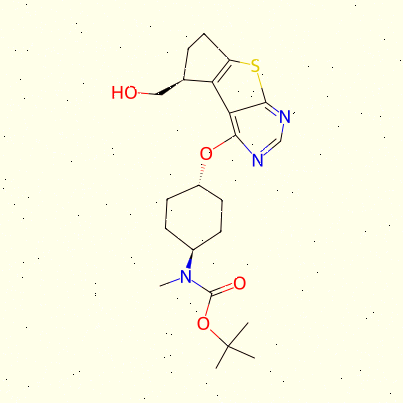 CN(C(=O)OC(C)(C)C)[C@H]1CC[C@H](Oc2ncnc3sc4c(c23)[C@@H](CO)CC4)CC1